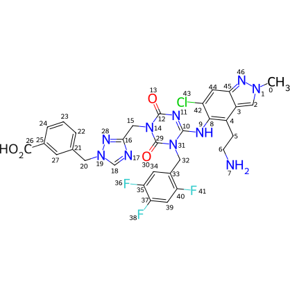 Cn1cc2c(CCN)c(Nc3nc(=O)n(Cc4ncn(Cc5cccc(C(=O)O)c5)n4)c(=O)n3Cc3cc(F)c(F)cc3F)c(Cl)cc2n1